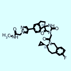 CNC(=O)Cn1cc(-c2ccc3c(c2)CC[C@]32NC(=O)N(CC(=O)N3Cc4ccc(F)cc4CC[C@H]3C3CC3)C2=O)cn1